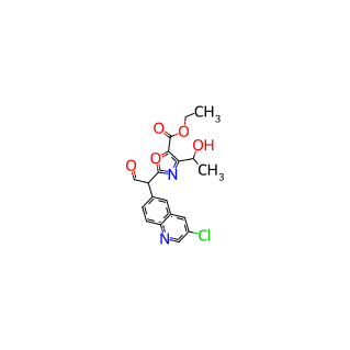 CCOC(=O)c1oc(C(C=O)c2ccc3ncc(Cl)cc3c2)nc1C(C)O